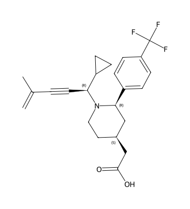 C=C(C)C#C[C@@H](C1CC1)N1CC[C@H](CC(=O)O)C[C@@H]1c1ccc(C(F)(F)F)cc1